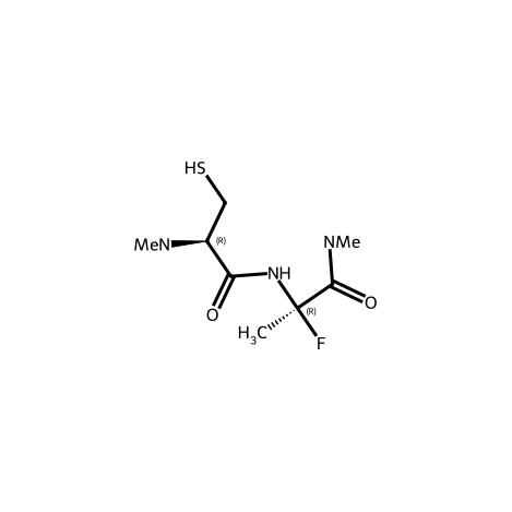 CNC(=O)[C@@](C)(F)NC(=O)[C@H](CS)NC